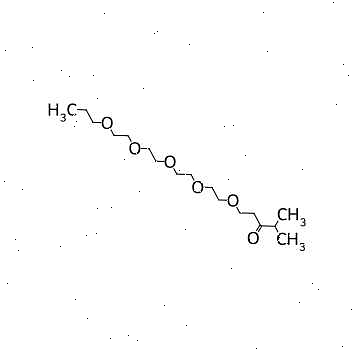 CCCOCCOCCOCCOCCOCCC(=O)C(C)C